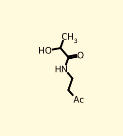 CC(=O)CCNC(=O)C(C)O